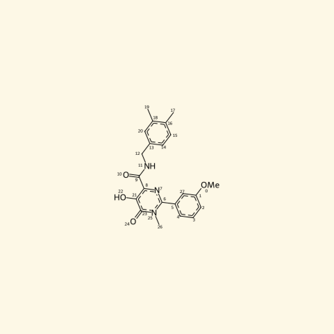 COc1cccc(-c2nc(C(=O)NCc3ccc(C)c(C)c3)c(O)c(=O)n2C)c1